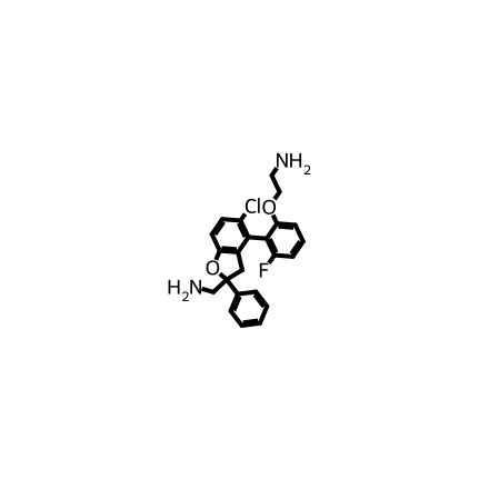 NCCOc1cccc(F)c1-c1c(Cl)ccc2c1CC(CN)(c1ccccc1)O2